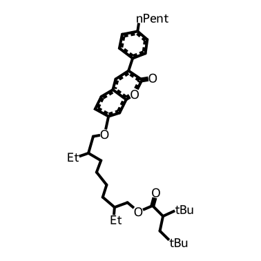 CCCCCc1ccc(-c2cc3ccc(OCC(CC)CCCCC(CC)COC(=O)C(CC(C)(C)C)C(C)(C)C)cc3oc2=O)cc1